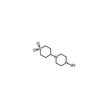 CC(C)N1CCN(C2CCS(=O)(=O)CC2)CC1